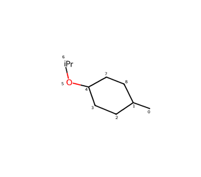 CC1CCC(OC(C)C)CC1